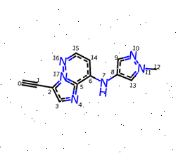 C#Cc1cnc2c(Nc3cnn(C)c3)ccnn12